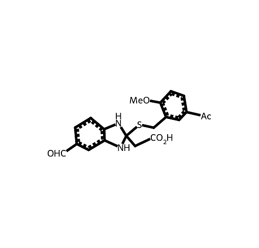 COc1ccc(C(C)=O)cc1CSC1(CC(=O)O)Nc2ccc(C=O)cc2N1